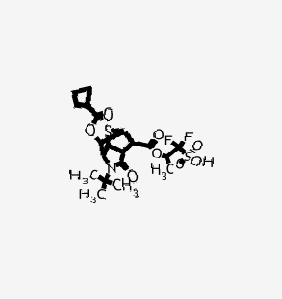 CC(OC(=O)C1C2SC3C1C(=O)N(C(C)(C)C)C3C2OC(=O)C1CCC1)C(F)(F)S(=O)(=O)O